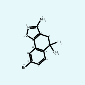 CC1(C)Cc2c(N)noc2-c2cc(Br)ccc21